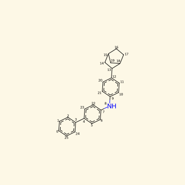 c1ccc(-c2ccc(Nc3ccc(C4CC5CCC4C5)cc3)cc2)cc1